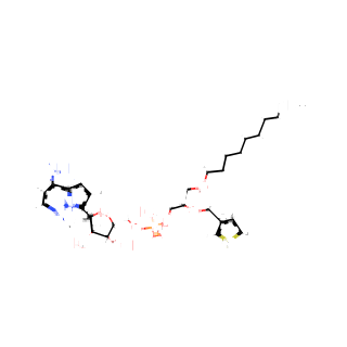 CCCCCCCCCCCCCCCCCCOC[C@H](COP(=O)(O)OC[C@H]1O[C@@](C#N)(c2ccc3c(N)ccnn23)[C@H](O)[C@@H]1O)OCc1ccsc1